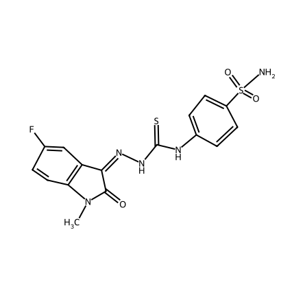 CN1C(=O)C(=NNC(=S)Nc2ccc(S(N)(=O)=O)cc2)c2cc(F)ccc21